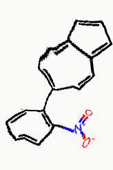 O=[N+]([O-])c1ccc[c]c1-c1ccc2cccc-2cc1